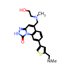 CNCc1cc(-c2ccc3c(CN(C)CCO)cc4n[nH]c(=O)n4c3c2)cs1